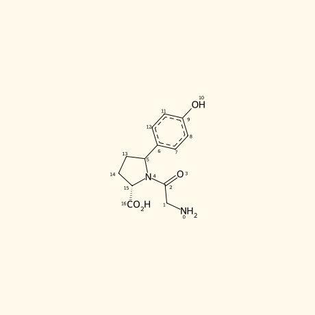 NCC(=O)N1C(c2ccc(O)cc2)CC[C@H]1C(=O)O